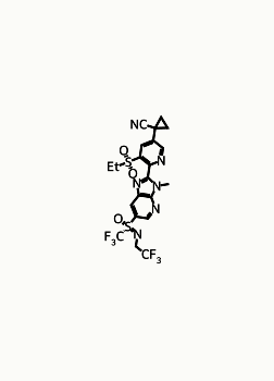 CCS(=O)(=O)c1cc(C2(C#N)CC2)cnc1-c1nc2cc(S(=O)(=NCC(F)(F)F)C(F)(F)F)cnc2n1C